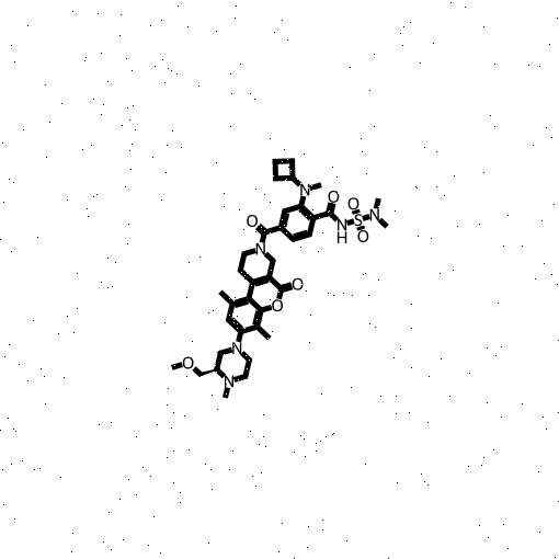 COC[C@H]1CN(c2cc(C)c3c4c(c(=O)oc3c2C)CN(C(=O)c2ccc(C(=O)NS(=O)(=O)N(C)C)c(N(C)C3CCC3)c2)CC4)CCN1C